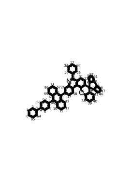 c1ccc(-c2ccc(-c3c4ccccc4c(-c4ccc5c(c4)nc(-c4ccccc4)c4ccc6c(c45)Oc4ccccc4C64c5ccccc5-c5ccccc54)c4ccccc34)cc2)cc1